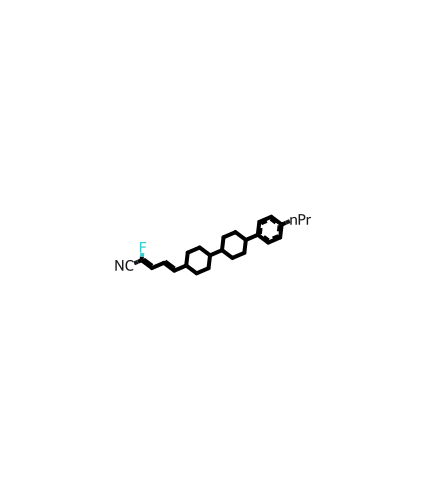 CCCc1ccc(C2CCC(C3CCC(C=CC=C(F)C#N)CC3)CC2)cc1